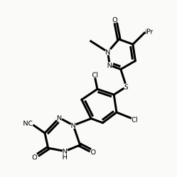 CC(C)c1cc(Sc2c(Cl)cc(-n3nc(C#N)c(=O)[nH]c3=O)cc2Cl)nn(C)c1=O